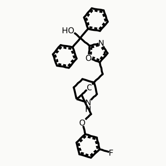 OC(c1ccccc1)(c1ccccc1)c1ncc(CC23CCC(NC2)C(COc2cccc(F)c2)C3)o1